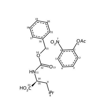 CC(=O)Oc1ccccc1[N+](=O)[O-].CC(C)C[C@H](NC(=O)OCc1ccccc1)C(=O)O